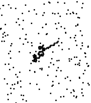 CCCCCCCCN(C(C)=O)c1ccc(CC(OC)OC)cc1